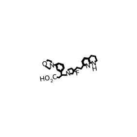 O=C(O)CC(CN1CC[C@](F)(CCc2ccc3c(n2)NCCC3)C1)c1cccc(N2CCOCC2)c1